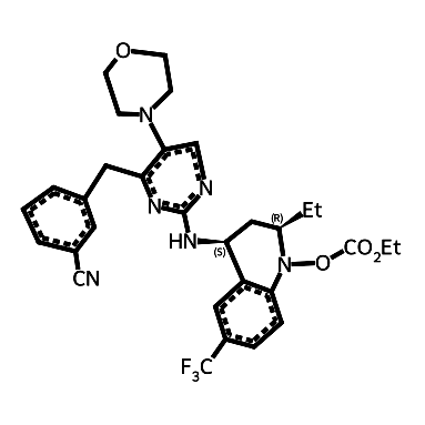 CCOC(=O)ON1c2ccc(C(F)(F)F)cc2[C@@H](Nc2ncc(N3CCOCC3)c(Cc3cccc(C#N)c3)n2)C[C@H]1CC